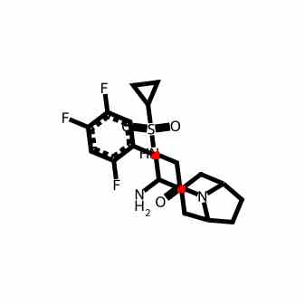 NC(Cc1cc(F)c(F)cc1F)C1CC2CCC(C1)N2C(=O)CNS(=O)(=O)C1CC1